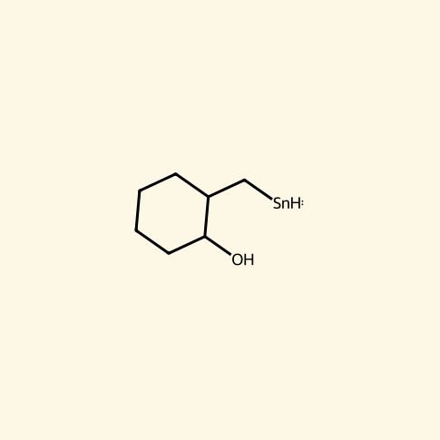 OC1CCCCC1[CH2][SnH]